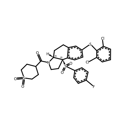 O=C(C1CCS(=O)(=O)CC1)N1CC[C@@]2(S(=O)(=O)c3ccc(F)cc3)c3ccc(Sc4c(Cl)cccc4Cl)cc3CC[C@@H]12